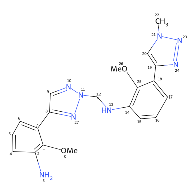 COc1c(N)cccc1-c1cnn(CNc2cccc(-c3cn(C)nn3)c2OC)n1